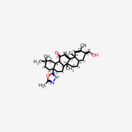 Cc1nnc(C23CCC4C(C(=O)C=C5C6(C)C=C(C#N)/C(=C/O)CC6CCC54C)C2CC(C)(C)CC3)o1